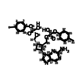 Cc1ccc(OP(=O)(O)OC[C@H]2C[C@@H](n3cnc4cnc(N)nc43)[C@@H]2COP(=O)(O)Oc2ccc(C)cc2)cc1